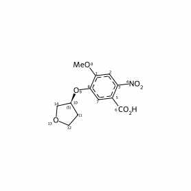 COc1cc([N+](=O)[O-])c(C(=O)O)cc1O[C@H]1CCOC1